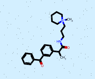 CC(C(=O)NCCC[N+]1(C)CCCCC1)c1cccc(C(=O)c2ccccc2)c1